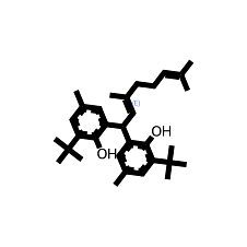 CC(C)=CCC/C(C)=C/C(c1cc(C)cc(C(C)(C)C)c1O)c1cc(C)cc(C(C)(C)C)c1O